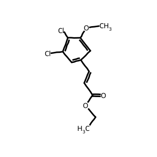 CCOC(=O)/C=C/c1cc(Cl)c(Cl)c(OC)c1